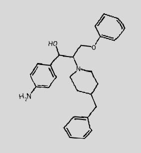 Nc1ccc(C(O)C(COc2ccccc2)N2CCC(Cc3ccccc3)CC2)cc1